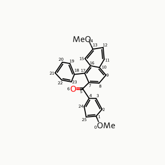 COc1ccc(C(=O)c2ccc3ccc(OC)cc3c2-c2ccccc2)cc1